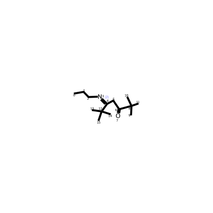 CCC/N=C(/CC(=O)C(C)(C)C)C(C)(C)C